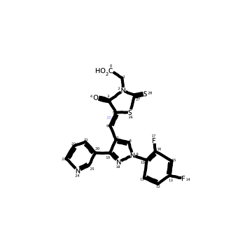 O=C(O)CN1C(=O)/C(=C/c2cn(-c3ccc(F)cc3F)nc2-c2cccnc2)SC1=S